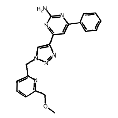 COCc1cccc(Cn2cc(-c3cc(-c4ccccc4)nc(N)n3)nn2)n1